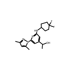 Cc1cc(C)n(-c2cc(C(C)O)cc(NC3CCC(F)(F)CC3)n2)n1